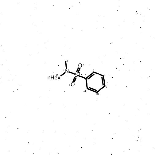 CCCCCCN(C)S(=O)(=O)c1ccccc1